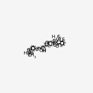 CCn1cc(S(=O)(=O)N2CCC3(CC2)CC(NCC(O)COc2cccc(S(=O)(=O)NC)c2)CO3)c(=O)c2cccc(F)c21